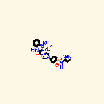 CC(Nc1ccccc1NN)C(=O)N1CCN(c2ccc(S(=O)(=O)Nc3ccncn3)cc2)CC1